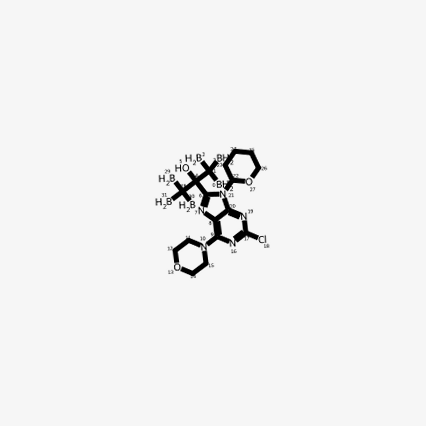 BC(B)(B)C(O)(c1nc2c(N3CCOCC3)nc(Cl)nc2n1C1CCCCO1)C(B)(B)B